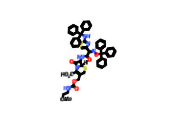 COCCNC(=O)OCC1=C(C(=O)O)N2C(=O)C(NC(=O)/C(=N\OC(c3ccccc3)(c3ccccc3)c3ccccc3)c3csc(NC(c4ccccc4)(c4ccccc4)c4ccccc4)n3)[C@@H]2SC1